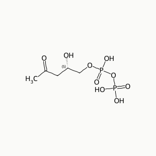 CC(=O)C[C@H](O)COP(=O)(O)OP(=O)(O)O